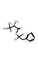 CCC(CC)(Cc1ccccc1)OC(=O)[C@H](C)C(C)(O)CC